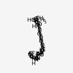 CC1(C)OB(O)c2ccc(C(=O)NCCOCCOCCOCCOCCOCCN3CCN(C(=O)c4cccc(-c5cc(Nc6ccc(OC(F)(F)F)cc6)ncn5)c4)CC3)cc21